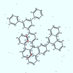 c1ccc(-c2cc(-c3ccccc3)cc(-c3ccc(N(c4ccccc4-c4ccccc4)c4cc(-c5cc6ccccc6c6ccccc56)ccc4-c4ccccc4)cc3)c2)cc1